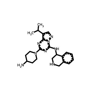 CC(C)c1cnn2c(NC3CNCc4ccccc43)nc(N3CCC(N)CC3)nc12